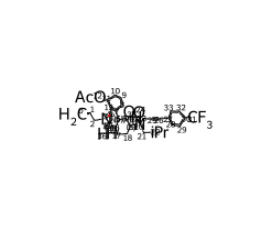 C=CCN1CC[C@@]23c4c5ccc(OC(C)=O)c4C[C@@H]1[C@@H]2CC[C@H](N(CC(C)C)C(=O)C#Cc1ccc(C(F)(F)F)cc1)[C@@H]3O5